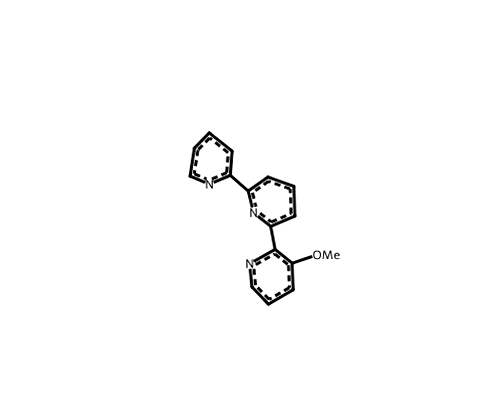 COc1cccnc1-c1cccc(-c2ccccn2)n1